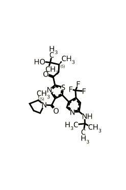 C[C@H]1CCCN1C(=O)c1nc(C(=O)C[C@H](C)C(C)(C)O)sc1-c1cnc(NC(C)(C)C)cc1C(F)(F)F